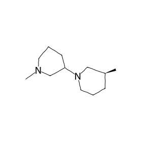 C[C@H]1CCCN(C2CCCN(C)C2)C1